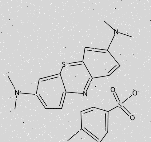 CN(C)c1ccc2nc3ccc(N(C)C)cc3[s+]c2c1.Cc1ccc(S(=O)(=O)[O-])cc1